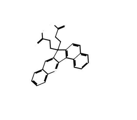 O=C(O)CCC1(CCC(=O)O)c2cc3ccccc3nc2-c2c1ccc1ccccc21